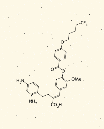 COc1cc(C=C(CCc2ccc(N)cc2N)C(=O)O)ccc1OC(=O)c1ccc(OCCCCC(F)(F)F)cc1